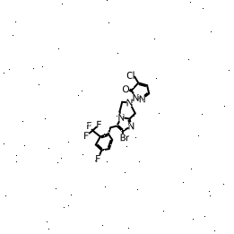 O=c1c(Cl)ccnn1N1CCn2c(nc(Br)c2Cc2ccc(F)cc2C(F)(F)F)C1